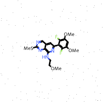 COCCNc1nc(-c2c(F)c(OC)cc(OC)c2F)cc2cnc(SC)nc12